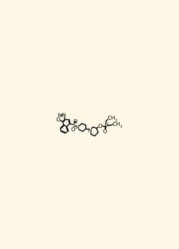 CCN(CC)C(=O)OC1CCCN(C2CCN(S(=O)(=O)c3cc4nnoc4c4ccccc34)CC2)C1